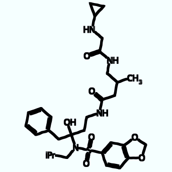 CC(C)CN(C(O)(CCNC(=O)CC(C)CNC(=O)CNC1CC1)Cc1ccccc1)S(=O)(=O)c1ccc2c(c1)OCO2